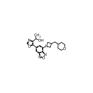 CC(O)c1ncoc1-c1cc(N2CC(CN3CCOCC3)C2)c2nonc2c1